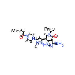 COCC(=O)N1CCN(c2cc(-c3cn([C@@H](C)C(C)C)c(=O)c4c(N)n[nH]c34)nn2C)CC1